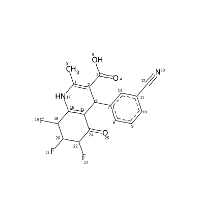 CC1=C(C(=O)O)C(c2cccc(C#N)c2)C2=C(N1)C(F)C(F)C(F)C2=O